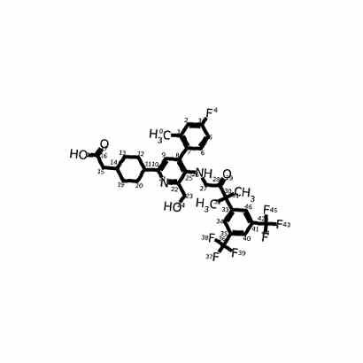 Cc1cc(F)ccc1-c1cc(C2CCC(CC(=O)O)CC2)nc(CO)c1NCC(=O)C(C)(C)c1cc(C(F)(F)F)cc(C(F)(F)F)c1